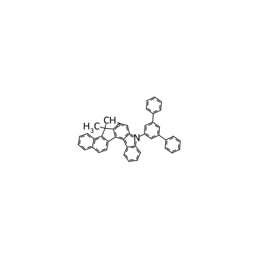 CC1(C)c2ccc3c(c2-c2ccc4ccccc4c21)c1ccccc1n3-c1cc(-c2ccccc2)cc(-c2ccccc2)c1